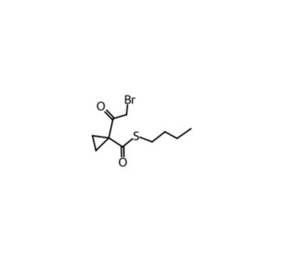 CCCCSC(=O)C1(C(=O)CBr)CC1